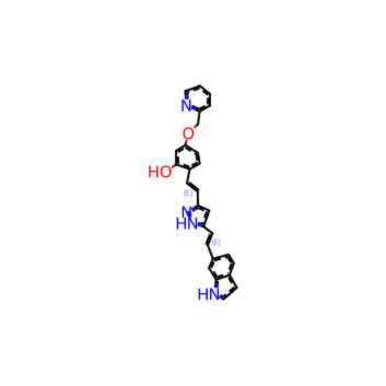 Oc1cc(OCc2ccccn2)ccc1/C=C/c1cc(/C=C/c2ccc3cc[nH]c3c2)[nH]n1